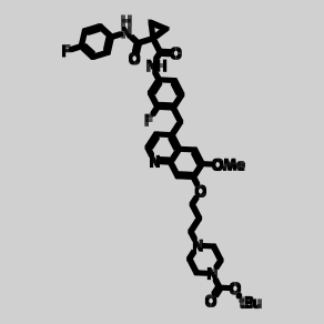 COc1cc2c(Cc3ccc(NC(=O)C4(C(=O)Nc5ccc(F)cc5)CC4)cc3F)ccnc2cc1OCCCN1CCN(C(=O)OC(C)(C)C)CC1